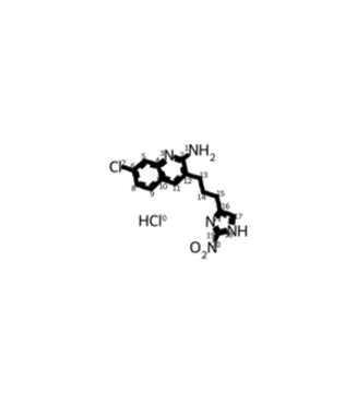 Cl.Nc1nc2cc(Cl)ccc2cc1CCCc1c[nH]c([N+](=O)[O-])n1